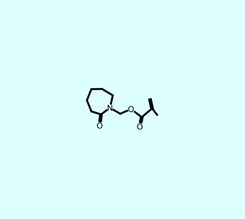 C=C(C)C(=O)OCN1CCCCCC1=O